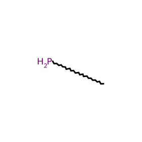 CCCCCCCCCCCCCCCCCCCCCCCCCP